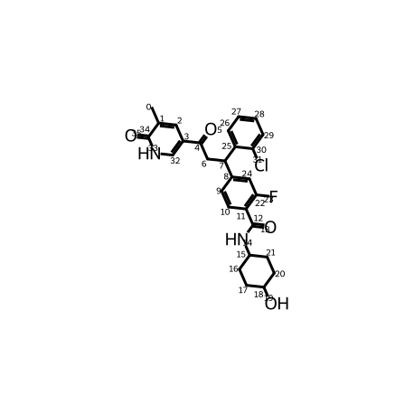 Cc1cc(C(=O)CC(c2ccc(C(=O)NC3CCC(O)CC3)c(F)c2)c2ccccc2Cl)c[nH]c1=O